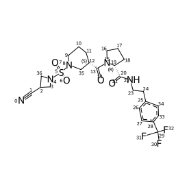 N#CC1CN(S(=O)(=O)N2CCC[C@H](C(=O)N3CCC[C@@H]3C(=O)NCCc3ccc(C(F)(F)F)cc3)C2)C1